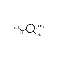 BNC1CC[C@H](C)C(C)C1